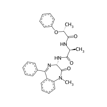 C[C@H](NC(=O)[C@@H](C)Oc1ccccc1)C(=O)N[C@H]1N=C(c2ccccc2)c2ccccc2N(C)C1=O